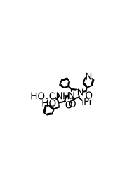 CC(C)C1C(=O)N(CC(=O)[C@@H](Cc2ccccc2)C(N)(O)C(=O)O)C(c2ccccc2)=CN1C(=O)c1ccncc1